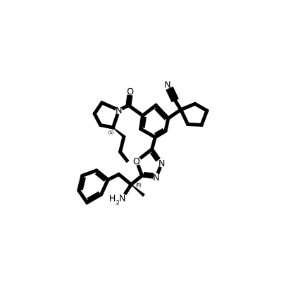 CCC[C@H]1CCCN1C(=O)c1cc(-c2nnc([C@](C)(N)Cc3ccccc3)o2)cc(C2(C#N)CCCC2)c1